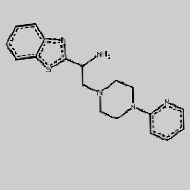 NC(CN1CCN(c2ccccn2)CC1)c1nc2ccccc2s1